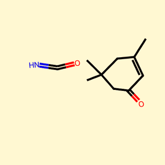 CC1=CC(=O)CC(C)(C)C1.N=C=O